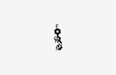 Fc1ccc(C2CC(Cn3ccnc3)=NO2)cc1